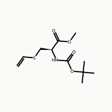 C=CSC[C@H](NC(=O)OC(C)(C)C)C(=O)OC